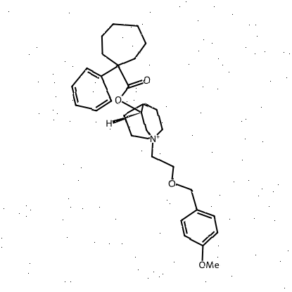 COc1ccc(COCC[N+]23CCC(CC2)[C@@H](OC(=O)C2(c4ccccc4)CCCCCC2)C3)cc1